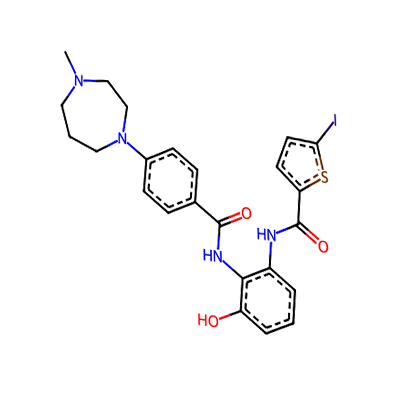 CN1CCCN(c2ccc(C(=O)Nc3c(O)cccc3NC(=O)c3ccc(I)s3)cc2)CC1